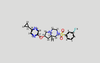 O=S(=O)(c1cccc(F)c1)N1CCN2C[C@H](Oc3cnc(C4CC4)cn3)C[C@H]2C1